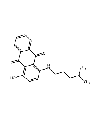 CN(C)CCCNc1ccc(O)c2c1C(=O)c1ccccc1C2=O